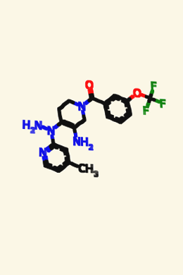 Cc1ccnc(N(N)C2=C(N)CN(C(=O)c3cccc(OC(F)(F)F)c3)CC2)c1